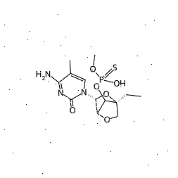 CC[C@]12COC(C1OP(O)(=S)OC)[C@H](n1cc(C)c(N)nc1=O)O2